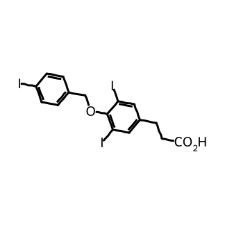 O=C(O)CCc1cc(I)c(OCc2ccc(I)cc2)c(I)c1